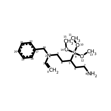 C=CN(CCC(CCN)[Si](OC)(OC)OC)Cc1ccccc1